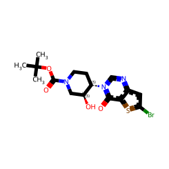 CC(C)(C)OC(=O)N1CC[C@H](n2cnc3cc(Br)sc3c2=O)[C@@H](O)C1